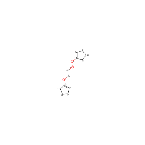 C1=C(OCCOOC2=CCCC2)CCC1